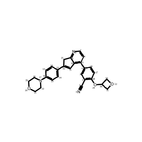 N#Cc1cc(-c2ccnc3c2C=C(c2ccc(N4CCOCC4)cc2)C3)ccc1OC1COC1